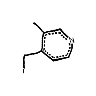 Cc1cnccc1CI